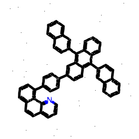 c1ccc2cc(-c3c4ccccc4c(-c4ccc5ccccc5c4)c4cc(-c5ccc(-c6cccc7ccc8cccnc8c67)cc5)ccc34)ccc2c1